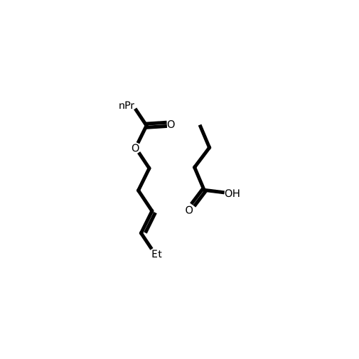 CCC=CCCOC(=O)CCC.CCCC(=O)O